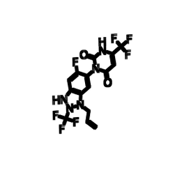 C=CCN1c2cc(-n3c(=O)cc(C(F)(F)F)[nH]c3=O)c(F)cc2NN1C(F)(F)F